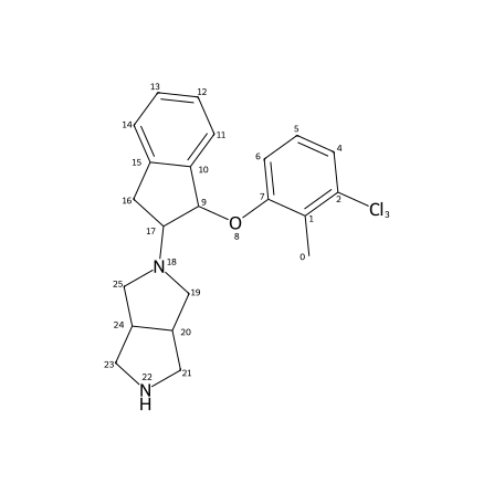 Cc1c(Cl)cccc1OC1c2ccccc2CC1N1CC2CNCC2C1